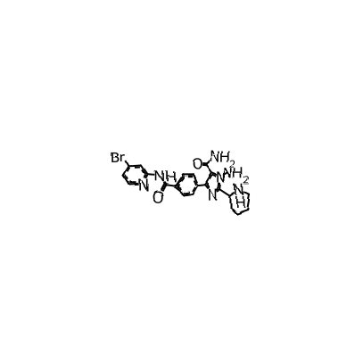 NC(=O)c1c(-c2ccc(C(=O)Nc3cc(Br)ccn3)cc2)nc(C2CCCCN2)n1N